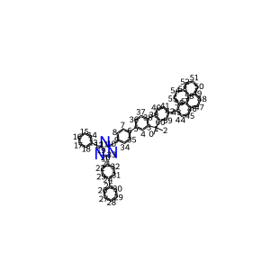 CC1(C)c2cc(-c3ccc(-c4nc(-c5ccccc5)nc(-c5ccc(-c6ccccc6)cc5)n4)cc3)ccc2-c2ccc(-c3ccc4ccc5cccc6ccc3c4c56)cc21